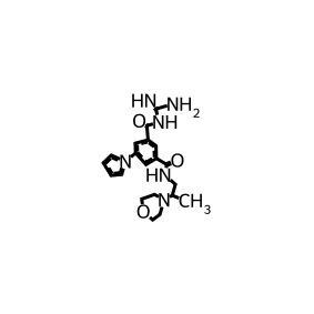 CC(CNC(=O)c1cc(C(=O)NC(=N)N)cc(-n2cccc2)c1)N1CCOCC1